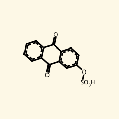 O=C1c2ccccc2C(=O)c2cc(OS(=O)(=O)O)ccc21